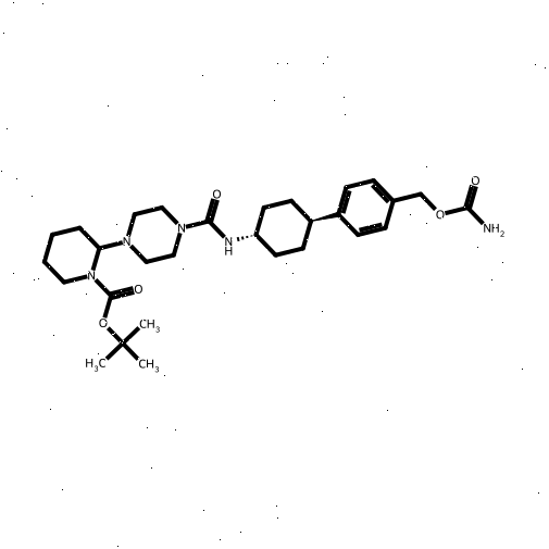 CC(C)(C)OC(=O)N1CCCCC1N1CCN(C(=O)N[C@H]2CC[C@H](c3ccc(COC(N)=O)cc3)CC2)CC1